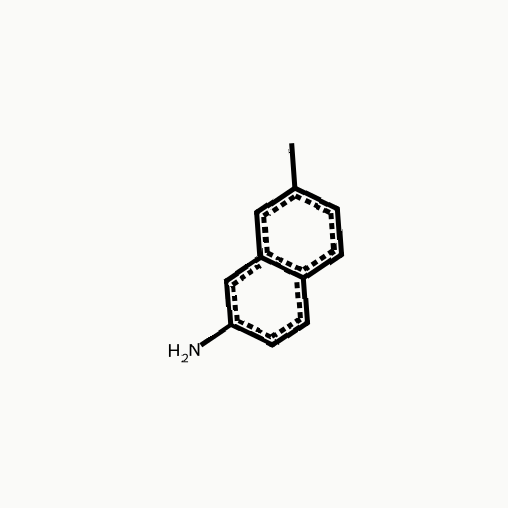 Cc1ccc2ccc(N)cc2c1